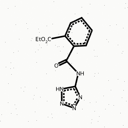 CCOC(=O)c1ccccc1C(=O)Nc1nnn[nH]1